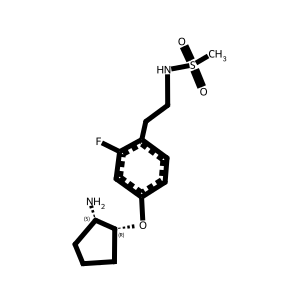 CS(=O)(=O)NCCc1ccc(O[C@@H]2CCC[C@@H]2N)cc1F